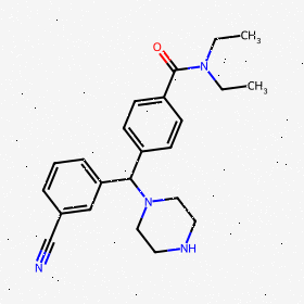 CCN(CC)C(=O)c1ccc(C(c2cccc(C#N)c2)N2CCNCC2)cc1